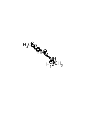 CC(=O)CC(=O)Cc1ccc(CNC(=O)COCCCNC(=O)CC(C)C)cc1